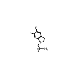 Cc1cc2c(cc1F)CCN2C[C@H](C)N